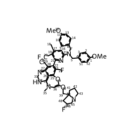 COc1ccc(CN(Cc2ccc(OC)cc2)c2cc(C)c(C(F)(F)F)c(-c3c(F)c4c5c(c3Cl)=NCNC=5N(C)C=C(OC[C@@]35CCCN3C[C@H](F)C5)O4)n2)cc1